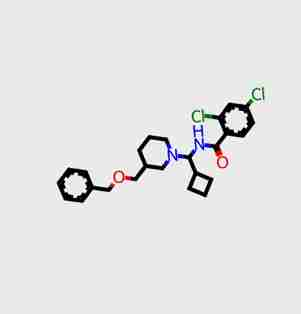 O=C(NC(C1CCC1)N1CCCC(COCc2ccccc2)C1)c1ccc(Cl)cc1Cl